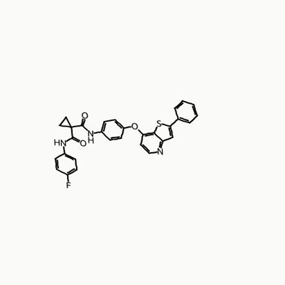 O=C(Nc1ccc(F)cc1)C1(C(=O)Nc2ccc(Oc3ccnc4cc(-c5ccccc5)sc34)cc2)CC1